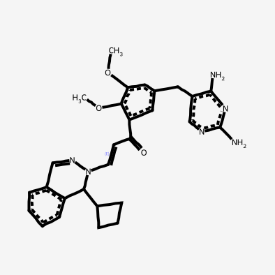 COc1cc(Cc2cnc(N)nc2N)cc(C(=O)/C=C/N2N=Cc3ccccc3C2C2CCC2)c1OC